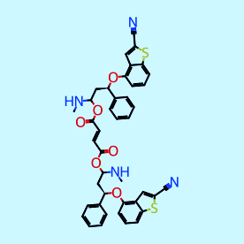 CNC(C[C@@H](Oc1cccc2sc(C#N)cc12)c1ccccc1)OC(=O)/C=C/C(=O)OC(C[C@@H](Oc1cccc2sc(C#N)cc12)c1ccccc1)NC